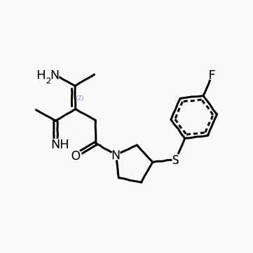 CC(=N)/C(CC(=O)N1CCC(Sc2ccc(F)cc2)C1)=C(/C)N